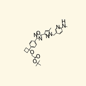 CNc1ccc(Cn2nc(-c3nc(-c4ccc(C5(OCC(=O)OC(C)(C)C)CCC5)cc4)no3)cc2C)cn1